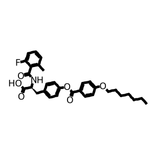 CCCCCCCOc1ccc(C(=O)Oc2ccc(C[C@H](NC(=O)c3c(C)cccc3F)C(=O)O)cc2)cc1